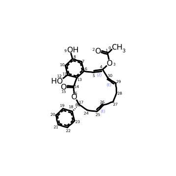 CC(=O)OC1=C\c2cc(O)cc(O)c2C(=O)O[C@@H](c2ccccc2)C/C=C/CC\C=C\1